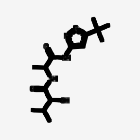 CC(NC(=O)C(O)C(C)C)C(=O)Nc1cc(C(C)(C)C)on1